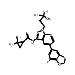 CC(C)(O)CCn1nc(NC(=O)C2CC2(C)C)c2cc(-c3cc(F)c4c(c3)OCO4)cnc21